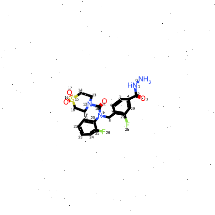 NNC(=O)c1ccc(CN(C(=O)N2CCS(=O)(=O)CC2)c2ccccc2F)c(F)c1